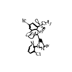 Cc1cc(C#N)cc(S(C)(=O)=O)c1NC(=O)c1cc(Br)nn1-c1ncccc1Cl